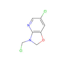 ClCN1COc2cc(Cl)cnc21